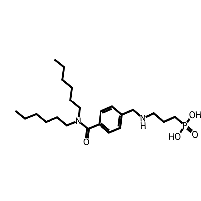 CCCCCCN(CCCCCC)C(=O)c1ccc(CNCCCP(=O)(O)O)cc1